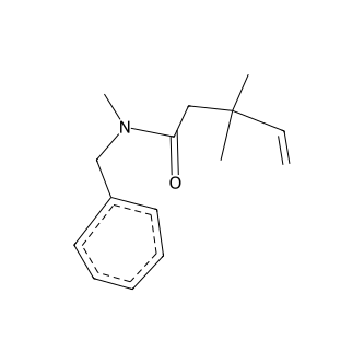 C=CC(C)(C)CC(=O)N(C)Cc1ccccc1